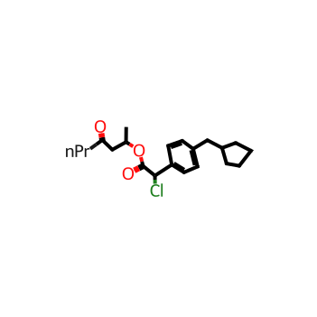 CCCC(=O)CC(C)OC(=O)C(Cl)c1ccc(CC2CCCC2)cc1